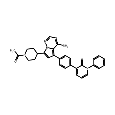 CC(=O)N1CCC(c2cc(-c3ccc(-c4cccn(-c5ccccc5)c4=O)cc3)c3c(N)ncnn23)CC1